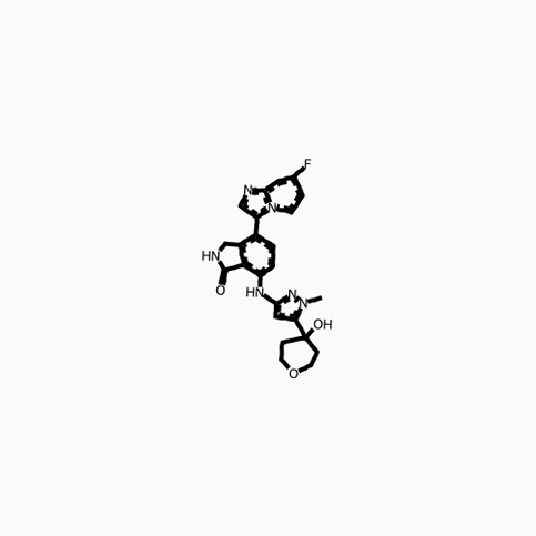 Cn1nc(Nc2ccc(-c3cnc4cc(F)ccn34)c3c2C(=O)NC3)cc1C1(O)CCOCC1